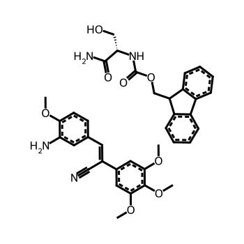 COc1ccc(C=C(C#N)c2cc(OC)c(OC)c(OC)c2)cc1N.NC(=O)[C@H](CO)NC(=O)OCC1c2ccccc2-c2ccccc21